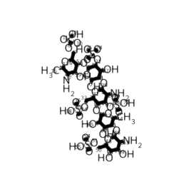 CC1O[C@@H](O[C@@H]2C(COS(=O)(=O)O)O[C@@H](C)C(N)[C@H]2O)[C@@H](OS(=O)(=O)O)C(O)[C@@H]1O[C@@H]1OC(COS(=O)(=O)O)[C@@H](O[C@@H]2OC(C)[C@@H](O[C@@H]3OC(COS(=O)(=O)O)[C@@H](O)[C@H](O)C3N)[C@H](O)C2O)[C@H](OS(=O)(=O)O)C1N